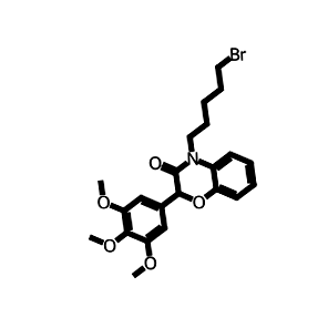 COc1cc(C2Oc3ccccc3N(CCCCCBr)C2=O)cc(OC)c1OC